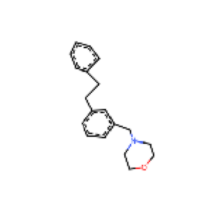 [c]1cccc(CCc2cccc(CN3CCOCC3)c2)c1